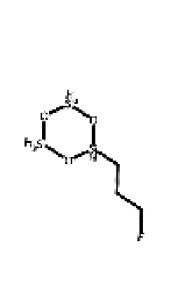 FCCC[SiH]1O[SiH2]O[SiH2]O1